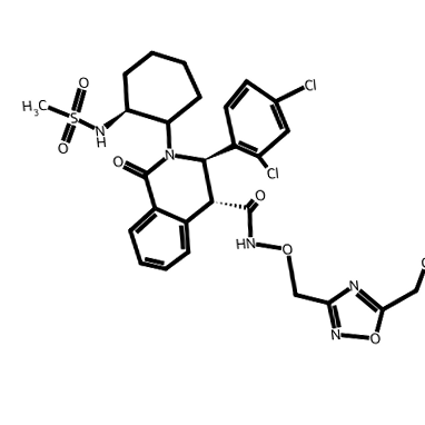 CS(=O)(=O)N[C@H]1CCCCC1N1C(=O)c2ccccc2[C@@H](C(=O)NOCc2noc(CO)n2)[C@@H]1c1ccc(Cl)cc1Cl